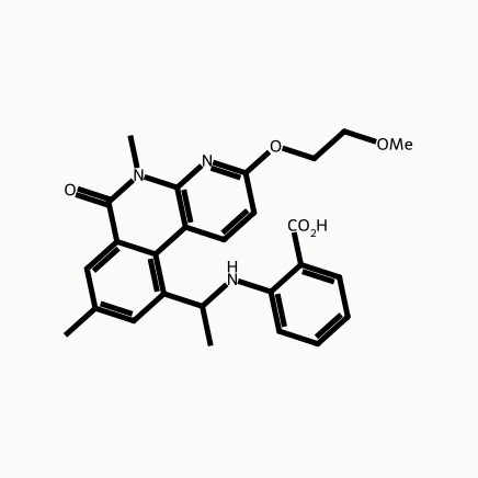 COCCOc1ccc2c3c(C(C)Nc4ccccc4C(=O)O)cc(C)cc3c(=O)n(C)c2n1